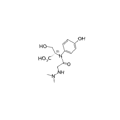 CN(C)NCC(=O)N(c1ccc(O)cc1)[C@@H](CO)C(=O)O